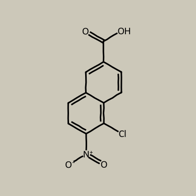 O=C(O)c1ccc2c(Cl)c([N+](=O)[O-])ccc2c1